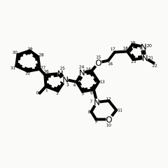 Cc1cn(-c2cc(N3CCOCC3)cc(OCCc3cnn(C)c3)n2)nc1-c1ccccc1